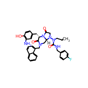 C=CCN(C(=O)NCc1ccc(F)cc1)N1CC(=O)N2[C@@H](Cc3ccc(O)c(N)c3)C(=O)N(Cc3cccc4ccccc34)C[C@@H]21